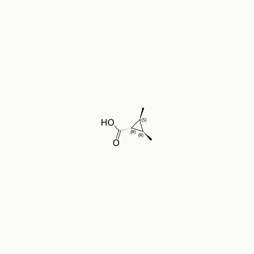 C[C@@H]1[C@H](C)[C@H]1C(=O)O